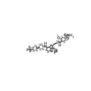 COc1cc(S(N)(=O)=O)ccc1NCC#Cc1cc2c(N[C@H]3CC[C@@H](N4CCC(C(F)(F)F)CC4)CC3)cccc2n1CC(F)(F)F